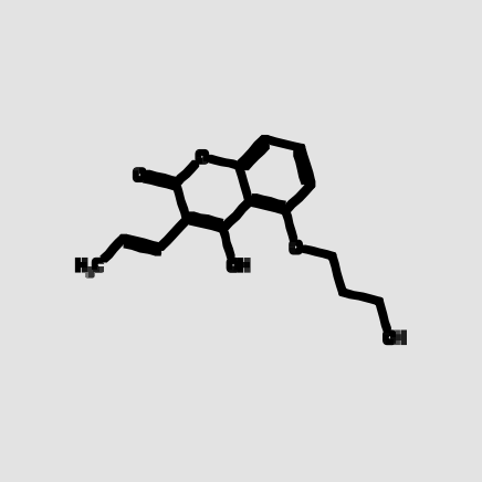 CC=Cc1c(O)c2c(OCCCO)cccc2oc1=O